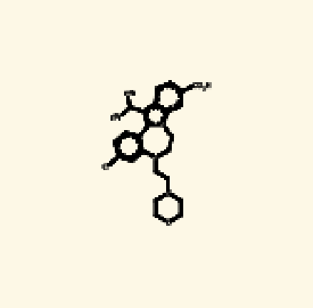 CCCC(CCC)c1c2n(c3cc(C(=O)O)ccc13)CCN(CCN1CCOCC1)c1cc(Cl)ccc1-2